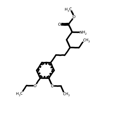 CCOc1ccc(CCC(CC)CC(N)C(=O)OC)cc1OCC